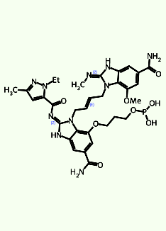 CCn1nc(C)cc1C(=O)/N=c1/[nH]c2cc(C(N)=O)cc(OCCCOP(O)O)c2n1C/C=C/Cn1/c(=N\C)[nH]c2cc(C(N)=O)cc(OC)c21